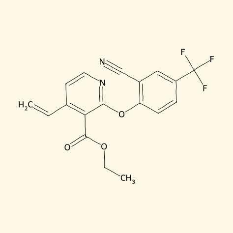 C=Cc1ccnc(Oc2ccc(C(F)(F)F)cc2C#N)c1C(=O)OCC